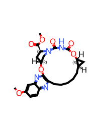 COC(=O)[C@@H]1C[C@@H]2CN1C(=O)NC(=O)O[C@@H]1C[C@H]1CCCCCc1nc3ccc(OC)cc3nc1O2